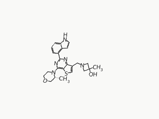 C[C@@H]1COCCN1c1nc(-c2cccc3[nH]ccc23)nc2c(CN3CC(C)(O)C3)csc12